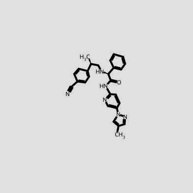 Cc1cnn(-c2ccc(NC(=O)[C@@H](NC[C@H](C)c3ccc(C#N)cc3)c3ccccc3)nc2)c1